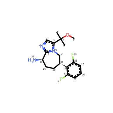 COC(C)(C)c1cnc2n1C[C@H](c1c(F)cccc1F)CC[C@H]2N